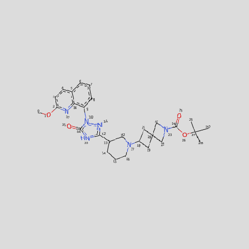 COc1ccc2cccc(-n3nc(C4CCCN(C5CC6(C5)CN(C(=O)OC(C)(C)C)C6)C4)[nH]c3=O)c2n1